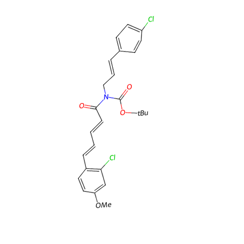 COc1ccc(C=CC=CC(=O)N(CC=Cc2ccc(Cl)cc2)C(=O)OC(C)(C)C)c(Cl)c1